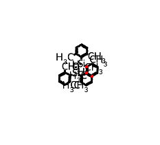 Cc1cccc(C)c1[SiH](O[SiH](c1c(C)cccc1C)c1c(C)cccc1C)c1c(C)cccc1C